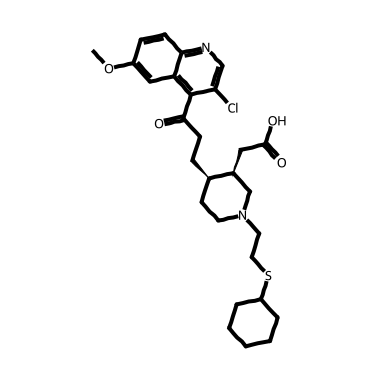 COc1ccc2ncc(Cl)c(C(=O)CC[C@@H]3CCN(CCSC4CCCCC4)C[C@@H]3CC(=O)O)c2c1